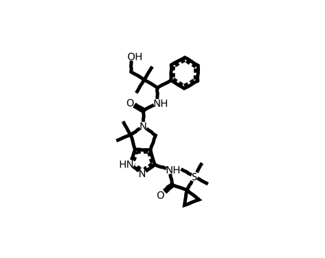 CC(C)(CO)C(NC(=O)N1Cc2c(NC(=O)C3(S(C)(C)C)CC3)n[nH]c2C1(C)C)c1ccccc1